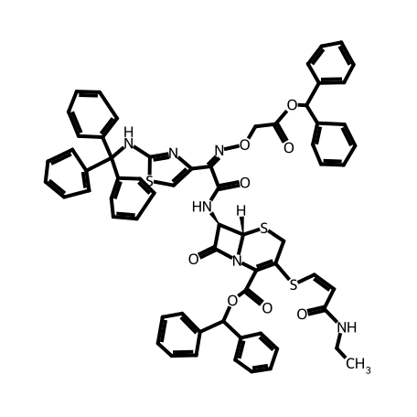 CCNC(=O)/C=C\SC1=C(C(=O)OC(c2ccccc2)c2ccccc2)N2C(=O)[C@@H](NC(=O)/C(=N\OCC(=O)OC(c3ccccc3)c3ccccc3)c3csc(NC(c4ccccc4)(c4ccccc4)c4ccccc4)n3)[C@@H]2SC1